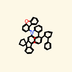 c1ccc(-c2ccccc2-c2ccccc2-c2ccccc2N(c2ccc3c(c2)C2(CCCC2)c2ccccc2-3)c2cccc3oc4ccccc4c23)cc1